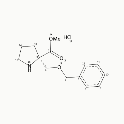 COC(=O)[C@]1(COCc2ccccc2)CCCN1.Cl